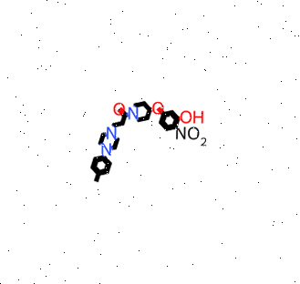 Cc1ccc(N2CCN(CCC(=O)N3CCC(Oc4ccc([N+](=O)[O-])c(O)c4)CC3)CC2)cc1